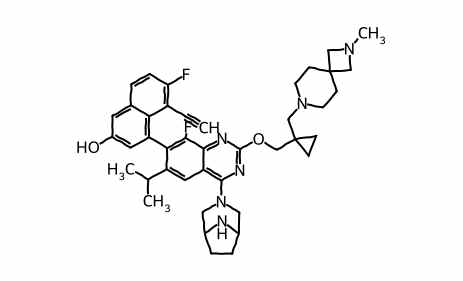 C#Cc1c(F)ccc2cc(O)cc(-c3c(C(C)C)cc4c(N5CC6CCC(C5)N6)nc(OCC5(CN6CCC7(CC6)CN(C)C7)CC5)nc4c3F)c12